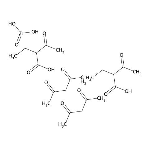 CC(=O)CC(C)=O.CC(=O)CC(C)=O.CCC(C(C)=O)C(=O)O.CCC(C(C)=O)C(=O)O.[O]=[Zr]([OH])[OH]